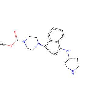 CC(C)(C)OC(=O)N1CCN(c2ccc(NC3CCNCC3)c3ccccc23)CC1